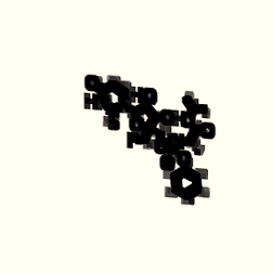 CC(C)OC(=O)[C@H](C)NP(=O)(OC[C@@]1(CF)O[C@@H](n2ccc(=O)[nH]c2=S)[C@@H](O)C1O)Oc1ccccc1